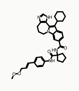 COOC/C=C/c1ccc(NC(=O)C2(NC(=O)c3ccc4c(C5CCCCC5)c5n(c4c3)CCCc3nc[nH]c3-5)CCCC2)cc1